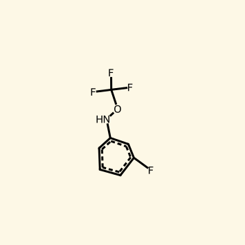 Fc1cccc(NOC(F)(F)F)c1